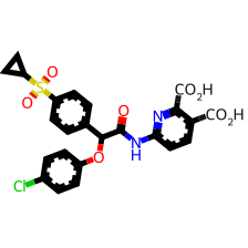 O=C(O)c1ccc(NC(=O)C(Oc2ccc(Cl)cc2)c2ccc(S(=O)(=O)C3CC3)cc2)nc1C(=O)O